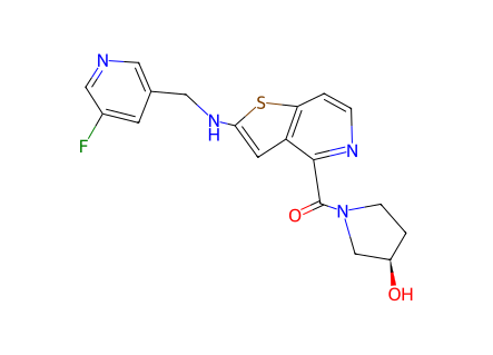 O=C(c1nccc2sc(NCc3cncc(F)c3)cc12)N1CC[C@@H](O)C1